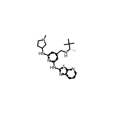 C[C@H](NCc1cc(Nc2nc3cccnc3s2)nc(NC2CCN(C)C2)c1)C(C)(C)C